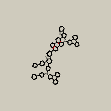 c1ccc(-c2ccc(-c3c(-c4ccc(N(c5ccc(-c6ccccc6)cc5)c5ccc6c7ccccc7c7ccccc7c6c5)cc4)ccc4c3sc3ccc(-c5ccc(-c6ccc(N(c7ccc8c9ccccc9c9ccccc9c8c7)c7ccc8c(sc9ccccc98)c7-c7ccc(-c8ccccc8)cc7)cc6)cc5)cc34)cc2)cc1